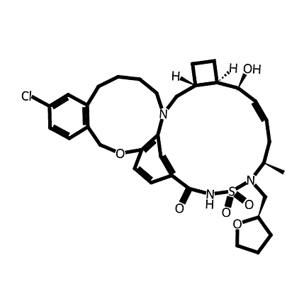 C[C@@H]1C/C=C\[C@H](O)[C@@H]2CC[C@H]2CN2CCCCc3cc(Cl)ccc3COc3ccc(cc32)C(=O)NS(=O)(=O)N1C[C@H]1CCCO1